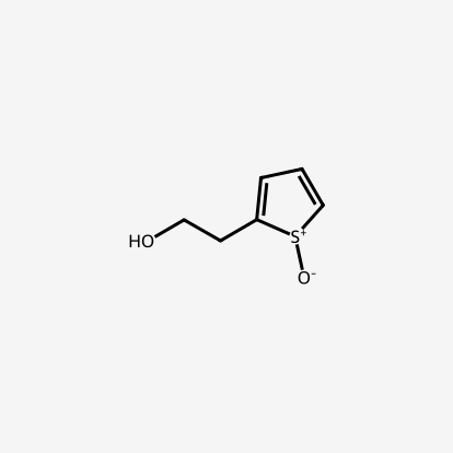 [O-][s+]1cccc1CCO